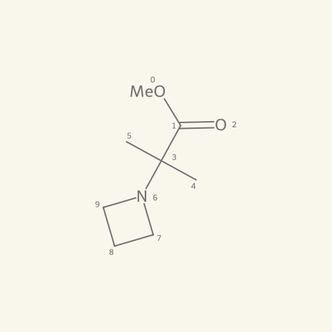 COC(=O)C(C)(C)N1CCC1